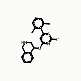 Cc1cccc(C)c1-c1cc(OC2CNCc3ccccc32)nc(Cl)n1